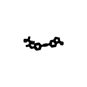 CC(=O)NC(C)Cc1ccc(C#Cc2ccc3c(c2)CCC3=O)cc1